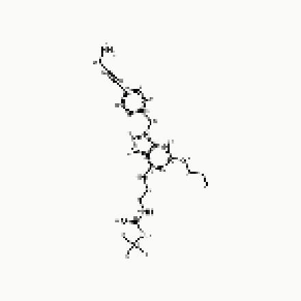 CCCSc1nc(NCCNC(=O)OC(C)(C)C)c2nnn(Cc3ccc(C#CCN)cc3)c2n1